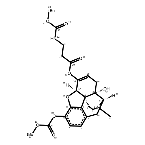 CN1CC[C@]23c4c5ccc(OC(=O)OC(C)(C)C)c4O[C@H]2C(OC(=O)CCNC(=O)OC(C)(C)C)=CC[C@@]3(O)[C@H]1C5